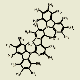 Bc1nc(-n2c3c(B)c(B)c(B)c(B)c3c3c(B)c(B)c(B)c(B)c32)c2sc3c(B)c(B)c(-n4c5c(B)c(B)c(B)c(B)c5c5c(B)c(B)c(B)c(B)c54)c(B)c3c2c1B